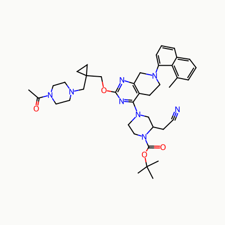 CC(=O)N1CCN(CC2(COc3nc4c(c(N5CCN(C(=O)OC(C)(C)C)C(CC#N)C5)n3)CCN(c3cccc5cccc(C)c35)C4)CC2)CC1